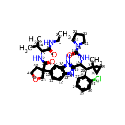 CCNC(=O)[C@H](NC(=O)C1(c2ccc3nc([C@@H](NC(=O)N4CCCC4)[C@H](c4ccccc4Cl)C4(C)CC4)[nH]c3c2)CCOC1)C(C)C